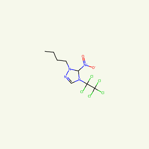 CCCCN1N=CN(C(Cl)(Cl)C(Cl)(Cl)Cl)C1[N+](=O)[O-]